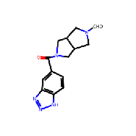 O=CN1CC2CN(C(=O)c3ccc4[nH]nnc4c3)CC2C1